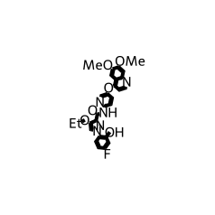 CCOc1cn(-c2ccc(F)cc2O)nc1C(=O)Nc1ccc(Oc2ccnc3cc(OC)c(OC)cc23)cn1